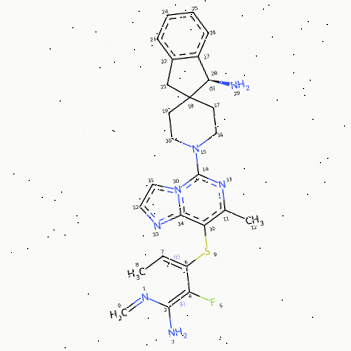 C=N/C(N)=C(F)\C(=C/C)Sc1c(C)nc(N2CCC3(CC2)Cc2ccccc2[C@H]3N)n2ccnc12